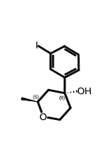 C[C@H]1C[C@@](O)(c2cccc(I)c2)CCO1